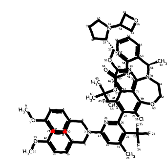 COc1ccc(CN(Cc2ccc(OC)cc2)c2cc(C)c(C(F)(F)F)c(-c3c(Cl)c4c5c(nc(OC[C@@H]6CCCN6C6COC6)nc5c3F)N([C@H](C)c3cccnc3NC(=O)OC(C)(C)C)CCO4)n2)cc1